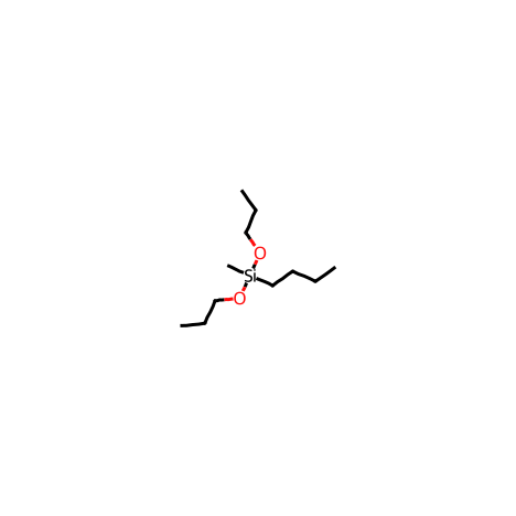 CCCC[Si](C)(OCCC)OCCC